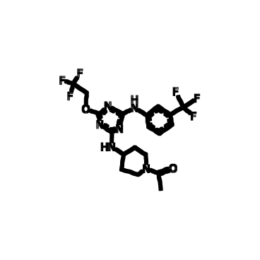 CC(=O)N1CCC(Nc2nc(Nc3cccc(C(F)(F)F)c3)nc(OCC(F)(F)F)n2)CC1